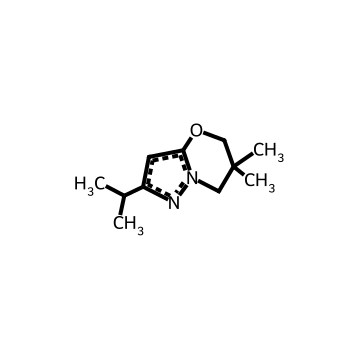 CC(C)c1cc2n(n1)CC(C)(C)CO2